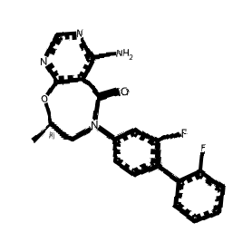 C[C@@H]1CN(c2ccc(-c3ccccc3F)c(F)c2)C(=O)c2c(N)ncnc2O1